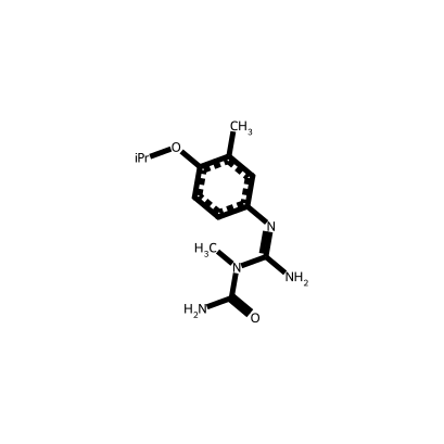 Cc1cc(/N=C(/N)N(C)C(N)=O)ccc1OC(C)C